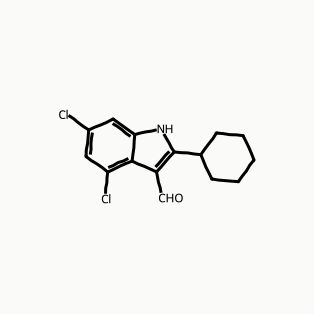 O=Cc1c(C2CCCCC2)[nH]c2cc(Cl)cc(Cl)c12